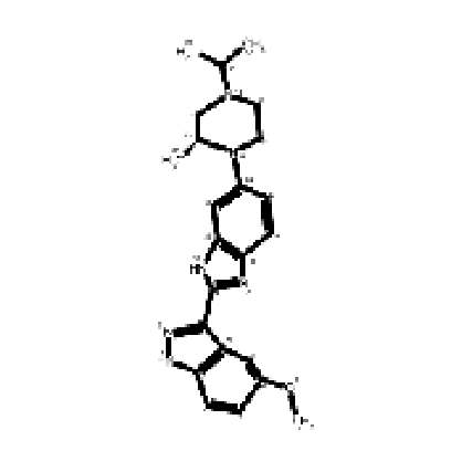 COc1ccc2[nH]nc(-c3nc4ccc(N5CCN(C(C)C)C[C@@H]5C)cc4[nH]3)c2c1